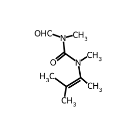 CC(C)=C(C)N(C)C(=O)N(C)C=O